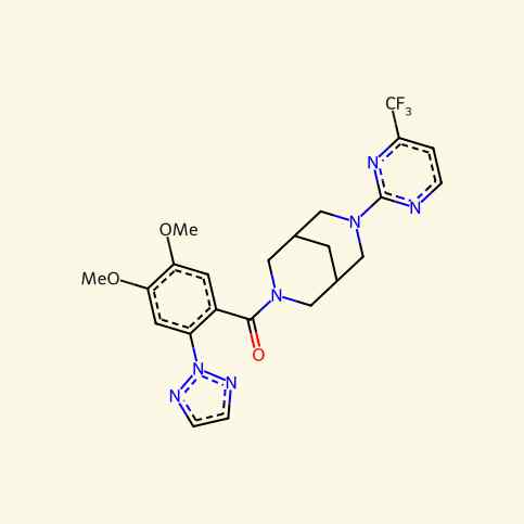 COc1cc(C(=O)N2CC3CC(C2)CN(c2nccc(C(F)(F)F)n2)C3)c(-n2nccn2)cc1OC